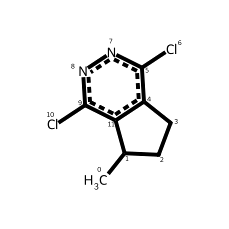 CC1CCc2c(Cl)nnc(Cl)c21